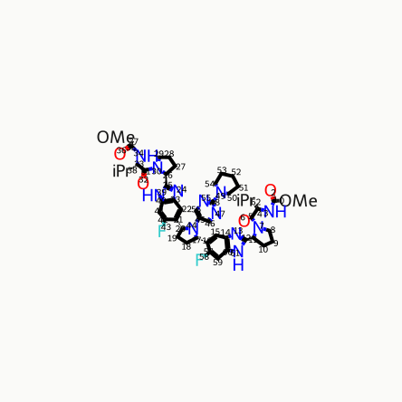 COC(=O)NC(C(=O)N1CCC[C@H]1c1nc2cc([C@@H]3CC[C@H](c4cc5nc([C@@H]6CCCN6C(=O)[C@@H](NC(=O)OC)C(C)C)[nH]c5cc4F)N3c3cnc(N4CCCCC4)nc3)c(F)cc2[nH]1)C(C)C